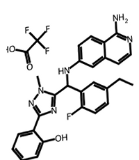 CCc1ccc(F)c(C(Nc2ccc3c(N)nccc3c2)c2nc(-c3ccccc3O)nn2C)c1.O=C(O)C(F)(F)F